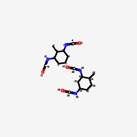 CC1C(N=C=O)CCCC1N=C=O.CC1CCC(N=C=O)CC1N=C=O